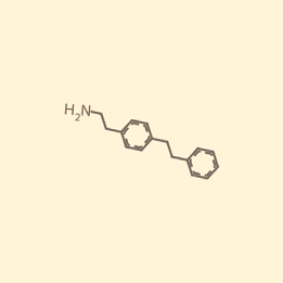 NCCc1ccc(CCc2ccccc2)cc1